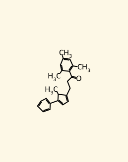 Cc1cc(C)c(C(=O)CCC2=CC=C(c3ccccc3)C2C)c(C)c1